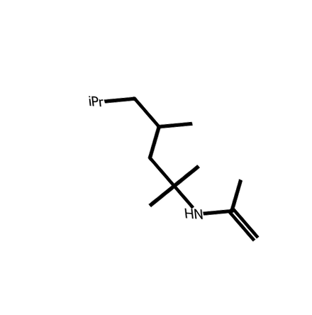 C=C(C)NC(C)(C)CC(C)CC(C)C